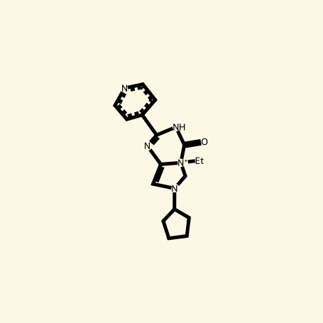 CC[N+]12CN(C3CCCC3)C=C1N=C(c1ccncc1)NC2=O